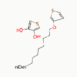 CCCCCCCCCCCCCCCCCCOc1ccsc1.Oc1cscc1O